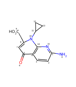 Nc1ccc2c(=O)cc(C(=O)O)n(C3CC3)c2n1